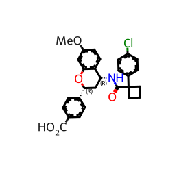 COc1ccc2c(c1)O[C@@H](c1ccc(C(=O)O)cc1)C[C@H]2NC(=O)C1(c2ccc(Cl)cc2)CCC1